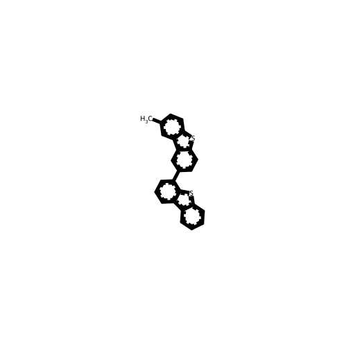 Cc1ccc2sc3ccc(-c4cccc5c4sc4ccccc45)cc3c2c1